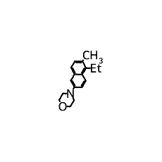 [CH2]Cc1c(C)ccc2cc(N3CCOCC3)ccc12